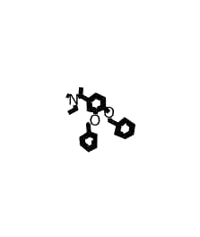 CCN(C)C(C)c1ccc(OCc2ccccc2)c(OCc2ccccc2)c1